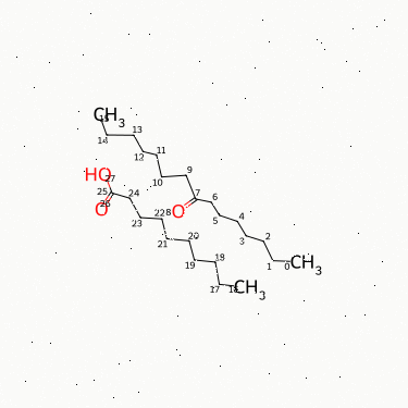 CCCCCCCC(=O)CCCCCCC.CCCCCCCCCC(=O)O